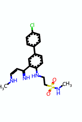 CN/C=C\C(=N)c1cc(-c2ccc(Cl)cc2)ccc1NCCS(=O)(=O)NC